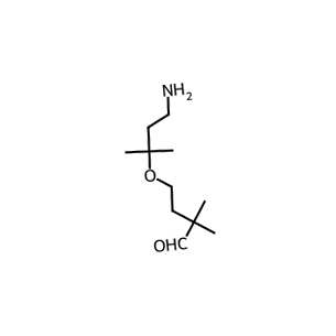 CC(C)(C=O)CCOC(C)(C)CCN